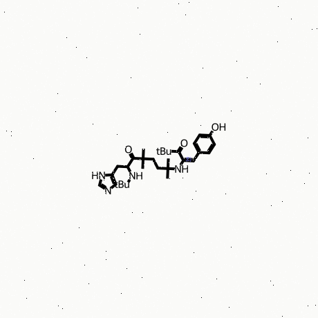 CC(C)(C)NC(Cc1cnc[nH]1)C(=O)C(C)(C)CCC(C)(C)N/C(=C/c1ccc(O)cc1)C(=O)C(C)(C)C